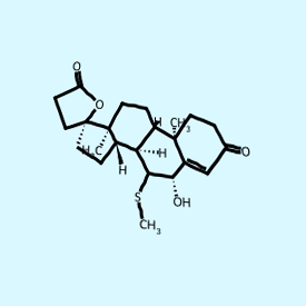 CSC1[C@@H]2[C@H](CC[C@@]3(C)[C@H]2CC[C@@]32CCC(=O)O2)[C@@]2(C)CCC(=O)C=C2[C@@H]1O